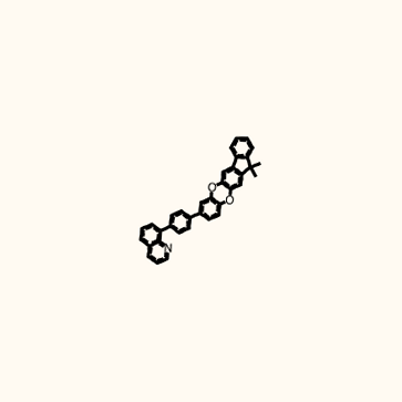 CC1(C)c2ccccc2-c2cc3c(cc21)Oc1ccc(-c2ccc(-c4cccc5cccnc45)cc2)cc1O3